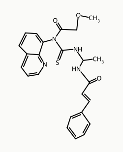 COCC(=O)N(C(=S)NC(C)NC(=O)/C=C/c1ccccc1)c1cccc2cccnc12